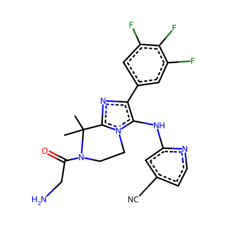 CC1(C)c2nc(-c3cc(F)c(F)c(F)c3)c(Nc3cc(C#N)ccn3)n2CCN1C(=O)CN